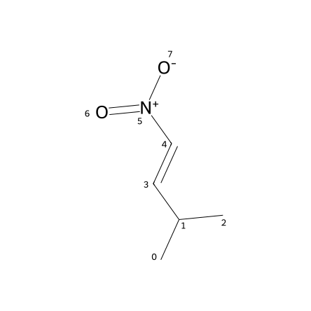 CC(C)C=C[N+](=O)[O-]